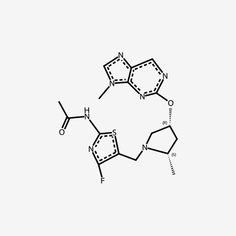 CC(=O)Nc1nc(F)c(CN2C[C@H](Oc3ncc4ncn(C)c4n3)C[C@@H]2C)s1